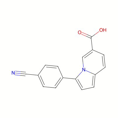 N#Cc1ccc(-c2ccc3ccc(C(=O)O)cn23)cc1